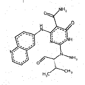 CC(C)[C@H](C=O)N(N)c1nc(Nc2ccc3ncccc3c2)c(C(N)=O)c(=O)[nH]1